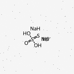 O=S(O)(O)=S.[Na+].[NaH].[SH-]